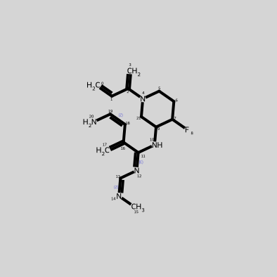 C=CC(=C)N1CCC(F)C(N/C(=N/C=N\C)C(=C)/C=C\N)C1